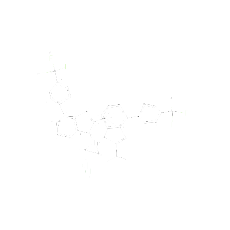 CC(C)C1=Cc2c(-c3ccc(C(F)(F)F)cc3)cccc2[CH]1[Ti+2]1([CH]2C(C(C)C)=Cc3c(-c4ccc(C(F)(F)F)cc4)cccc32)[CH2][CH2]1.[Cl-].[Cl-]